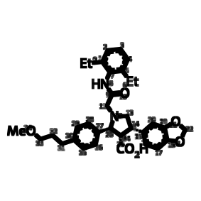 CCc1cccc(CC)c1NC(=O)CN1C[C@H](c2ccc3c(c2)OCO3)[C@H](C(=O)O)[C@H]1c1ccc(CCCOC)cc1